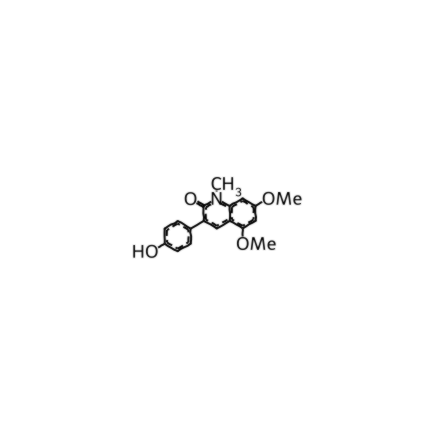 COc1cc(OC)c2cc(-c3ccc(O)cc3)c(=O)n(C)c2c1